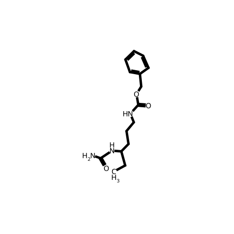 CCC(CCCNC(=O)OCc1ccccc1)NC(N)=O